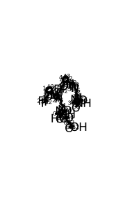 Cc1nn(CCCN2CCN(c3ccccc3OCC(F)(F)F)CC2)c(=O)[nH]c1=O.Cc1nn(CCCN2CCN(c3ccccc3OCC(F)(F)F)CC2)c(=O)[nH]c1=O.O=C(O)C=CC(=O)O